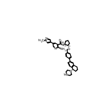 Cn1cc(-c2cnc(N)c(C(=O)N[C@H]3CCC[C@@H]3OCc3ccc(-c4ccc5c(c4)CCC[C@@H]5N4CCNCC4)cc3)c2)cn1